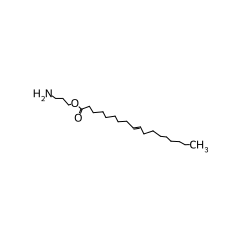 CCCCCCCCC=CCCCCCCCC(=O)OCCCN